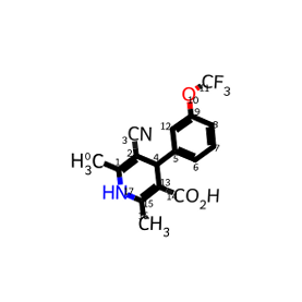 CC1=C(C#N)C(c2cccc(OC(F)(F)F)c2)C(C(=O)O)=C(C)N1